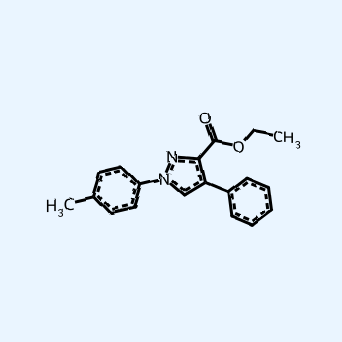 CCOC(=O)c1nn(-c2ccc(C)cc2)cc1-c1ccccc1